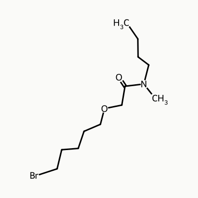 CCCCN(C)C(=O)COCCCCCBr